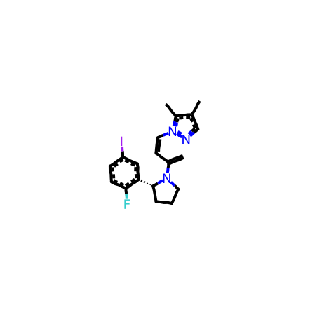 C=C(/C=C\n1ncc(C)c1C)N1CCC[C@@H]1c1cc(I)ccc1F